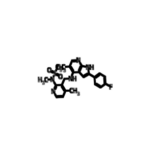 Cc1ccnc(N(C)S(C)(=O)=O)c1CNc1c(C(F)(F)F)cnc2[nH]c(-c3ccc(F)cc3)cc12